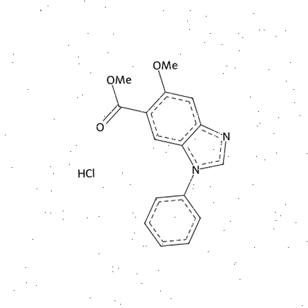 COC(=O)c1cc2c(cc1OC)ncn2-c1ccccc1.Cl